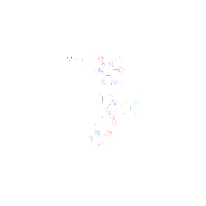 CCCn1c(=O)c2[nH]c(-c3ccc(N(CCCn4ccccc4=O)C(=O)c4ccc(F)cc4)nc3)nc2n(CCCOC)c1=O